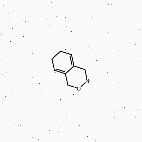 C1=C2C[N]OCC2=CCC1